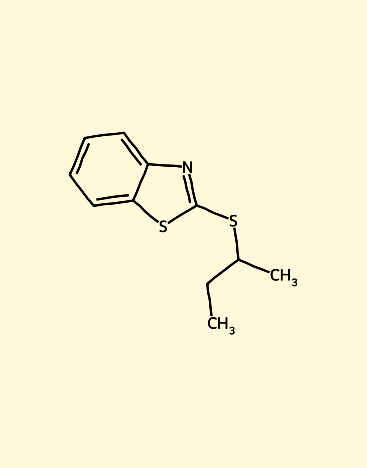 CCC(C)Sc1nc2ccccc2s1